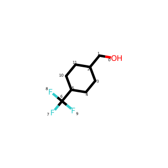 OCC1CCC(C(F)(F)F)CC1